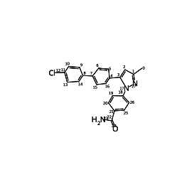 Cc1cc(-c2ccc(-c3ccc(Cl)cc3)cc2)n(-c2ccc(C(N)=O)cc2)n1